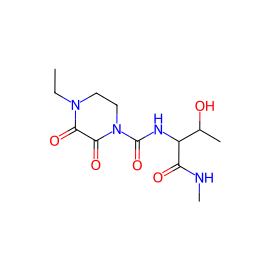 CCN1CCN(C(=O)NC(C(=O)NC)C(C)O)C(=O)C1=O